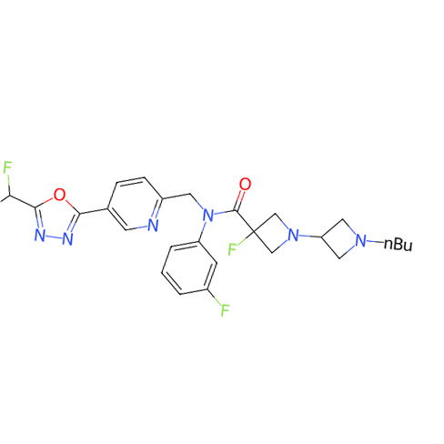 CCCCN1CC(N2CC(F)(C(=O)N(Cc3ccc(-c4nnc(C(F)F)o4)cn3)c3cccc(F)c3)C2)C1